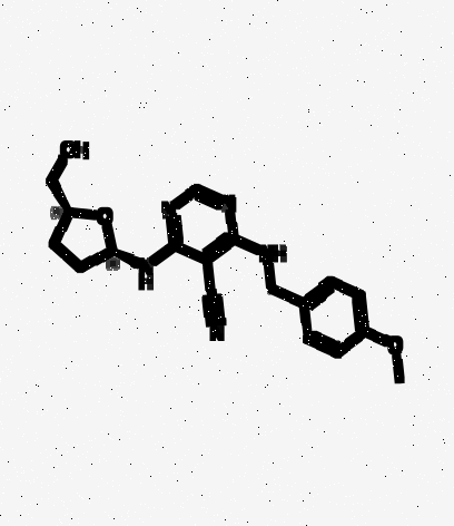 COc1ccc(CNc2ncnc(N[C@H]3CC[C@@H](CO)O3)c2C#N)cc1